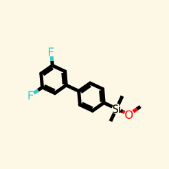 CO[Si](C)(C)c1ccc(-c2cc(F)cc(F)c2)cc1